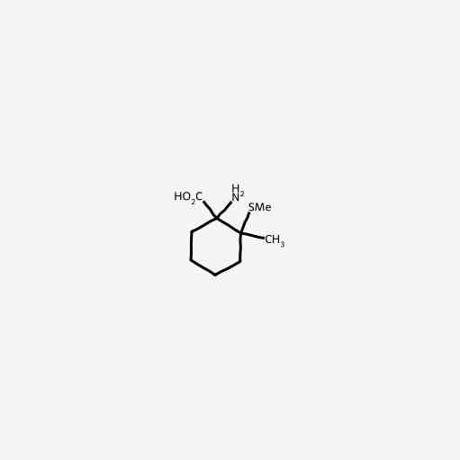 CSC1(C)CCCCC1(N)C(=O)O